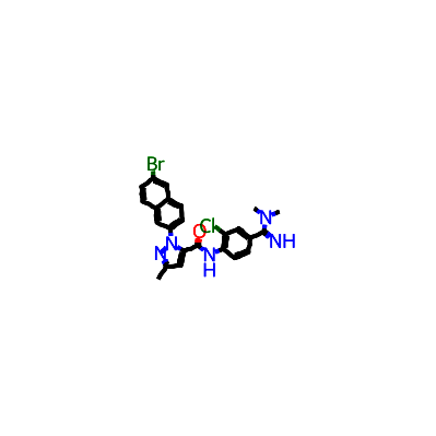 Cc1cc(C(=O)Nc2ccc(C(=N)N(C)C)cc2Cl)n(-c2ccc3cc(Br)ccc3c2)n1